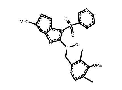 COc1ccc2c(c1)nc([S+]([O-])Cc1ncc(C)c(OC)c1C)n2S(=O)(=O)c1cccnc1